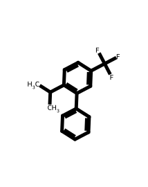 CC(C)c1ccc(C(F)(F)F)cc1-c1ccccc1